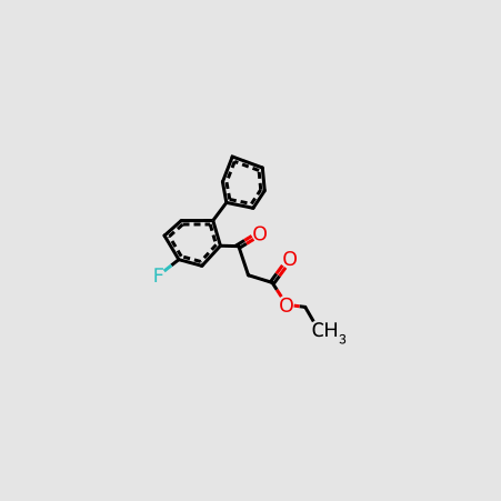 CCOC(=O)CC(=O)c1cc(F)ccc1-c1ccccc1